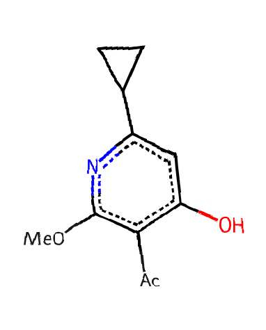 COc1nc(C2CC2)cc(O)c1C(C)=O